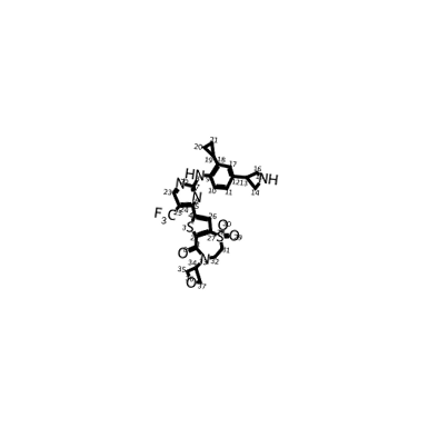 O=C1c2sc(-c3nc(Nc4ccc(C5CNC5)cc4C4CC4)ncc3C(F)(F)F)cc2S(=O)(=O)CCN1C1COC1